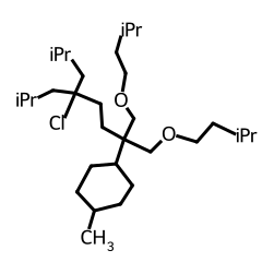 CC(C)CCOCC(CCC(Cl)(CC(C)C)CC(C)C)(COCCC(C)C)C1CCC(C)CC1